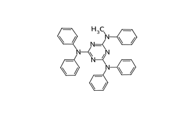 CN(c1ccccc1)c1nc(N(c2ccccc2)c2ccccc2)nc(N(c2ccccc2)c2ccccc2)n1